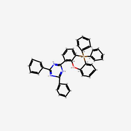 c1ccc(-c2nc(-c3ccccc3)nc(-c3cccc4c3Oc3ccccc3S4(c3ccccc3)c3ccccc3)n2)cc1